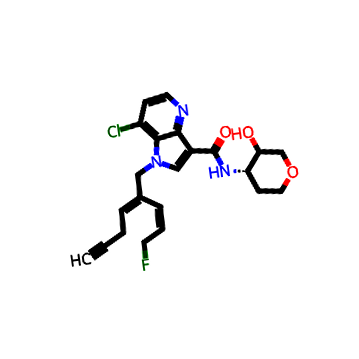 C#CC/C=C(\C=C/CF)Cn1cc(C(=O)N[C@H]2CCOCC2O)c2nccc(Cl)c21